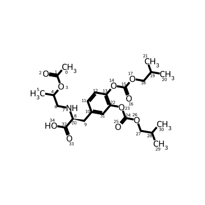 CC(=O)OC(C)CN[C@@H](Cc1ccc(OC(=O)OCC(C)C)c(OC(=O)OCC(C)C)c1)C(=O)O